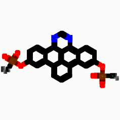 O=S(=O)(Oc1ccc2c(c1)c1cccc3c4cc(OS(=O)(=O)C(F)(F)F)ccc4c4ncnc2c4c13)C(F)(F)F